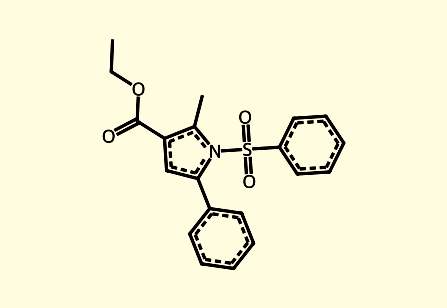 CCOC(=O)c1cc(-c2ccccc2)n(S(=O)(=O)c2ccccc2)c1C